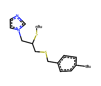 CCCCSC(CSCc1ccc(C(C)(C)C)cc1)Cn1ccnc1